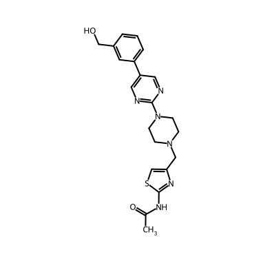 CC(=O)Nc1nc(CN2CCN(c3ncc(-c4cccc(CO)c4)cn3)CC2)cs1